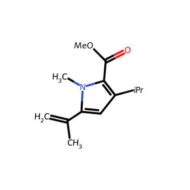 C=C(C)c1cc(C(C)C)c(C(=O)OC)n1C